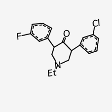 CCN1CC(c2cccc(F)c2)C(=O)C(c2cccc(Cl)c2)C1